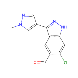 Cn1cc(-c2n[nH]c3cc(Cl)c(C=O)cc23)cn1